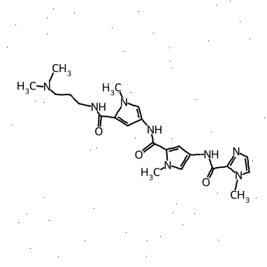 CN(C)CCCNC(=O)c1cc(NC(=O)c2cc(NC(=O)c3nccn3C)cn2C)cn1C